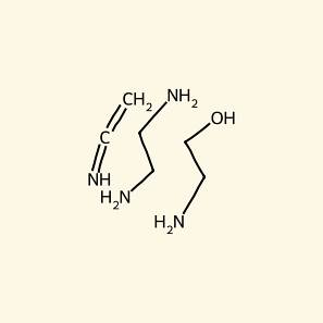 C=C=N.NCCN.NCCO